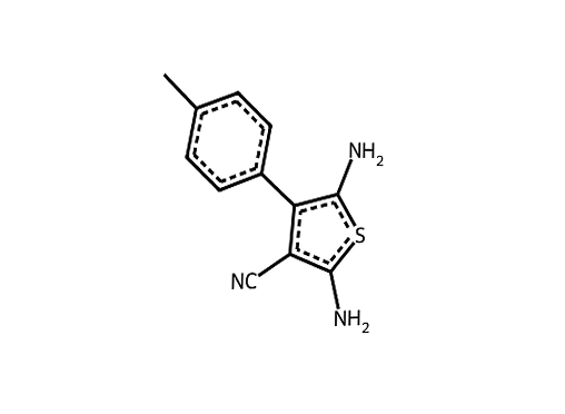 Cc1ccc(-c2c(N)sc(N)c2C#N)cc1